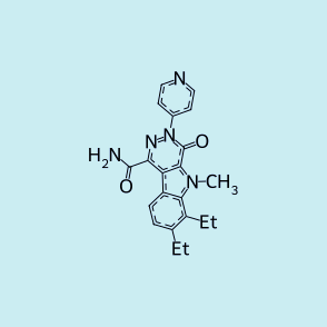 CCc1ccc2c3c(C(N)=O)nn(-c4ccncc4)c(=O)c3n(C)c2c1CC